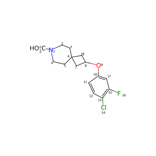 O=C(O)N1CCC2(CC1)CC(Oc1ccc(Cl)c(F)c1)C2